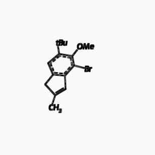 COc1c(C(C)(C)C)cc2c(c1Br)C=C(C)C2